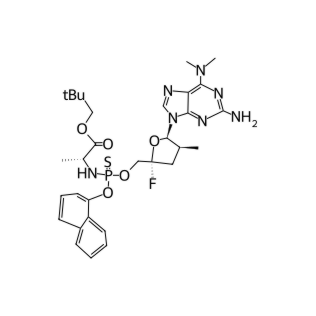 C[C@@H](NP(=S)(OC[C@]1(F)C[C@H](C)[C@H](n2cnc3c(N(C)C)nc(N)nc32)O1)Oc1cccc2ccccc12)C(=O)OCC(C)(C)C